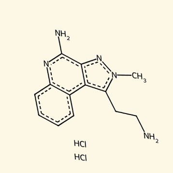 Cl.Cl.Cn1nc2c(N)nc3ccccc3c2c1CCN